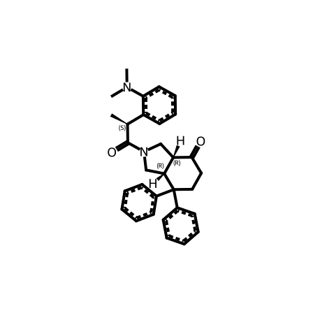 C[C@H](C(=O)N1C[C@@H]2C(=O)CCC(c3ccccc3)(c3ccccc3)[C@@H]2C1)c1ccccc1N(C)C